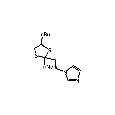 CCCCCCCCCC1(CCn2ccnc2)SCC(CCCC)S1